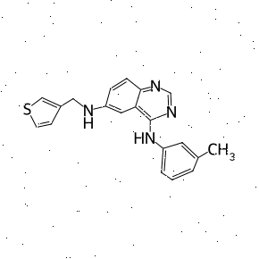 Cc1cccc(Nc2ncnc3ccc(NCc4ccsc4)cc23)c1